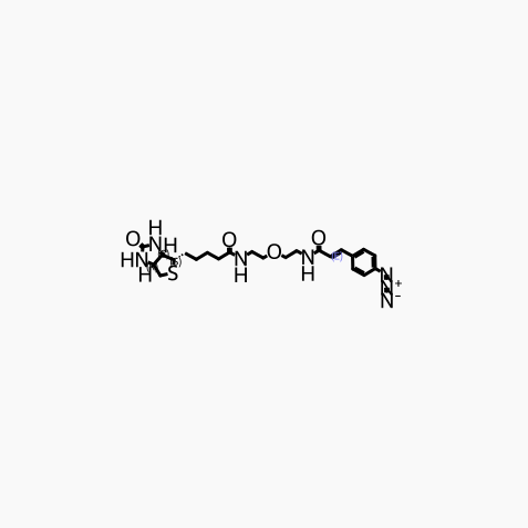 [N-]=[N+]=Nc1ccc(/C=C/C(=O)NCCOCCNC(=O)CCCC[C@@H]2SC[C@@H]3NC(=O)N[C@@H]32)cc1